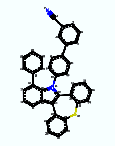 N#Cc1cccc(-c2ccc(-n3c4c(c5cccc(-c6ccccc6)c53)-c3ccccc3Sc3ccccc3-4)cc2)c1